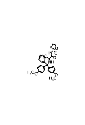 COc1ccc(C(N[C@@H](C)C(=O)NP2(=O)OCCS2)(c2ccccc2)c2ccc(OC)cc2)cc1